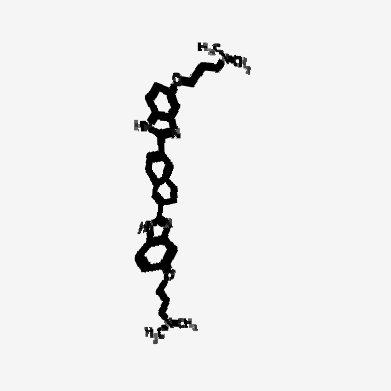 CN(C)CCCOc1ccc2[nH]c(-c3ccc4cc(-c5nc6cc(OCCCN(C)C)ccc6[nH]5)ccc4c3)nc2c1